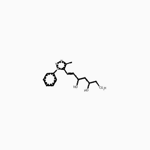 Cc1nnn(-c2ccccc2)c1/C=C/C(O)CC(O)CC(=O)O